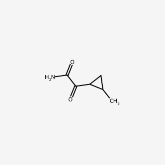 CC1CC1C(=O)C(N)=O